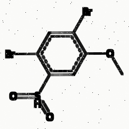 COc1cc([SH](=O)=O)c(Br)cc1Br